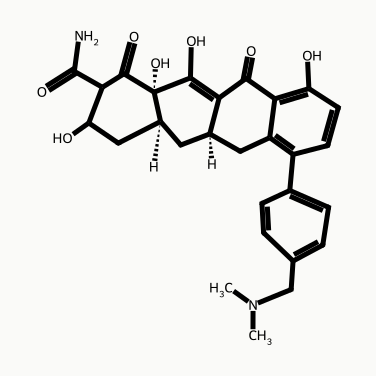 CN(C)Cc1ccc(-c2ccc(O)c3c2C[C@H]2C[C@H]4CC(O)C(C(N)=O)C(=O)[C@@]4(O)C(O)=C2C3=O)cc1